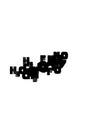 CC(C)(C)c1cnn(-c2cc(F)c(C3=NC4=NC(=O)C5(CC5)N4C3C=O)c(F)c2)c1